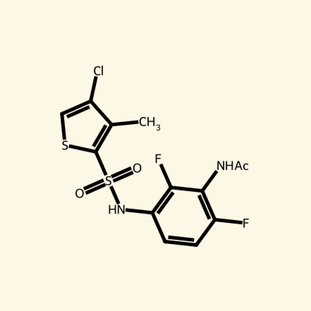 CC(=O)Nc1c(F)ccc(NS(=O)(=O)c2scc(Cl)c2C)c1F